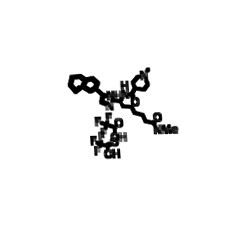 CNC(=O)CCCCC[C@H](NC(=O)C1CCN(C)CC1)c1ncc(-c2ccc3ccccc3c2)[nH]1.O=C(O)C(F)(F)F.O=C(O)C(F)(F)F